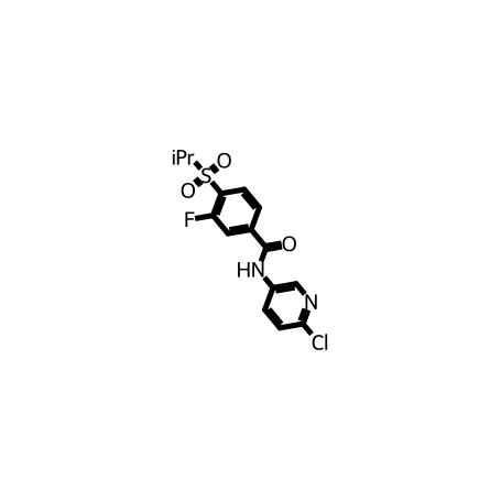 CC(C)S(=O)(=O)c1ccc(C(=O)Nc2ccc(Cl)nc2)cc1F